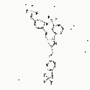 FC(F)(F)Sc1ccc(/C=C/c2cc(/C=C/c3ccc(SC(F)(F)F)cc3)n(-c3cccc(C(F)(F)F)c3)n2)cc1